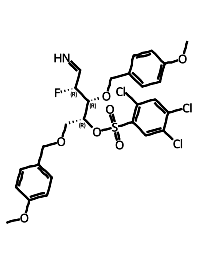 COc1ccc(COC[C@@H](OS(=O)(=O)c2cc(Cl)c(Cl)cc2Cl)[C@@H](OCc2ccc(OC)cc2)[C@H](F)C=N)cc1